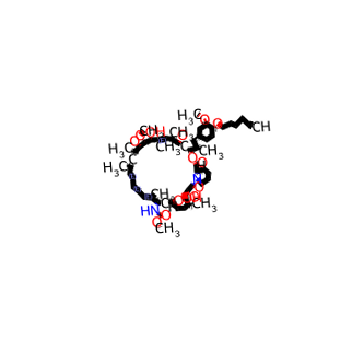 C#CCCCCO[C@@H]1CC[C@@H](C[C@@H](C)[C@@H]2CC(=O)[C@H](C)/C=C(\C)[C@@H](O)[C@@H](OC)C(=O)[C@H](C)C[C@H](C)/C=C/C=C/C=C(\C)C(NC(=O)OC)C[C@@H]3CC[C@@H](C)[C@@](O)(O3)C(=O)C(=O)N3CCCC[C@H]3C(=O)O2)C[C@H]1OC